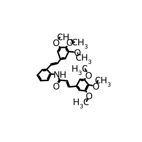 COc1cc(C=Cc2ccccc2NC(=O)/C=C/c2cc(OC)c(OC)c(OC)c2)cc(OC)c1OC